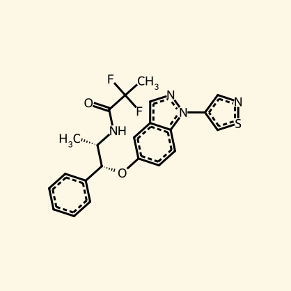 C[C@H](NC(=O)C(C)(F)F)[C@H](Oc1ccc2c(cnn2-c2cnsc2)c1)c1ccccc1